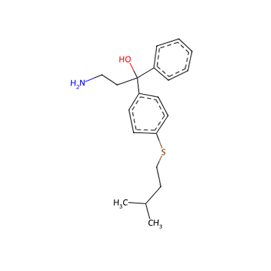 CC(C)CCSc1ccc(C(O)(CCN)c2ccccc2)cc1